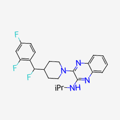 CC(C)Nc1nc2ccccc2nc1N1CCC(C(F)c2ccc(F)cc2F)CC1